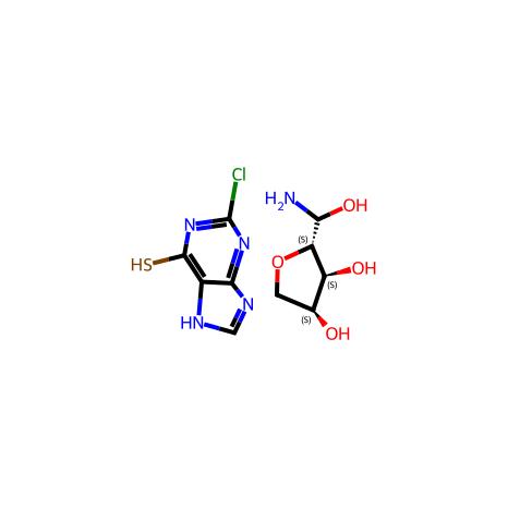 NC(O)[C@H]1OC[C@H](O)[C@@H]1O.Sc1nc(Cl)nc2nc[nH]c12